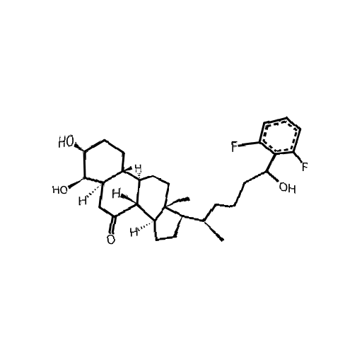 C[C@H](CCCC(O)c1c(F)cccc1F)[C@H]1CC[C@H]2[C@@H]3C(=O)C[C@H]4[C@@H](O)[C@@H](O)CC[C@]4(C)[C@H]3CC[C@]12C